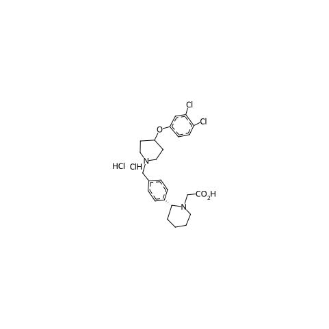 Cl.Cl.O=C(O)CN1CCCC[C@@H]1c1ccc(CN2CCC(Oc3ccc(Cl)c(Cl)c3)CC2)cc1